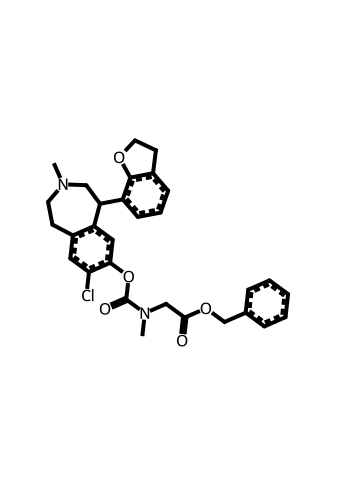 CN1CCc2cc(Cl)c(OC(=O)N(C)CC(=O)OCc3ccccc3)cc2C(c2cccc3c2OCC3)C1